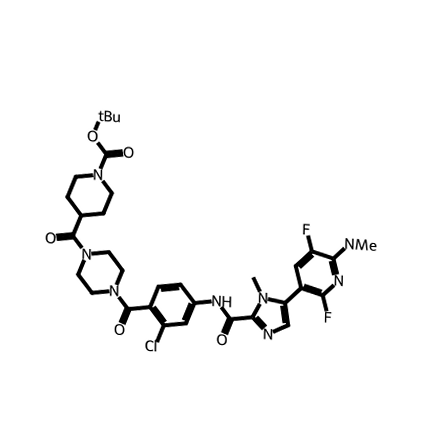 CNc1nc(F)c(-c2cnc(C(=O)Nc3ccc(C(=O)N4CCN(C(=O)C5CCN(C(=O)OC(C)(C)C)CC5)CC4)c(Cl)c3)n2C)cc1F